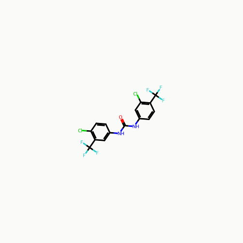 O=C(Nc1ccc(C(F)(F)F)c(Cl)c1)Nc1ccc(Cl)c(C(F)(F)F)c1